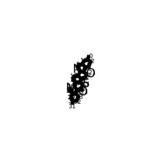 Cc1ccc2c3c(ncc2c1)-c1ccc2c4c(sc(c14)C3=O)C(=O)c1c-2ncc2cc(C)ccc12